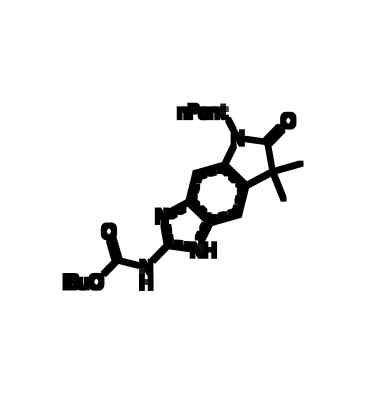 CCCCCN1C(=O)C(C)(C)c2cc3[nH]c(NC(=O)OCC(C)C)nc3cc21